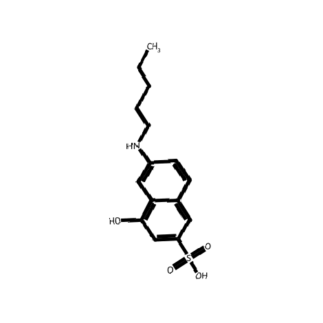 CCCCCNc1ccc2cc(S(=O)(=O)O)[c]c(O)c2c1